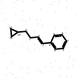 [CH](C/C=C/c1ccccc1)C1CC1